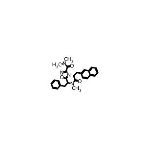 CN(C)C(=O)c1noc(C(Cc2ccccc2)N(C)C(=O)[CH]Cc2ccc3ccccc3c2)n1